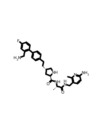 Cc1nc(N)ccc1CNC(=O)[C@H](C)NC(=O)[C@H]1C[C@H](CCc2ccc(-c3ccc(F)cc3CN)cc2)CN1